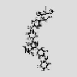 Nc1ncnc2c1c(-c1ccc(Oc3ccccc3)cc1)nn2C1CCN(Cc2cnc(N3CCC(=O)NC3=O)cn2)CC1